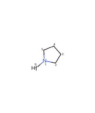 [Hf][N]1CCCC1